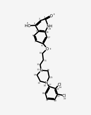 O=c1cc(O)c2ccc(OCCCN3CCN(c4cccc(Cl)c4Cl)CC3)cc2[nH]1